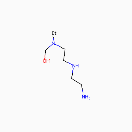 CCN(CO)CCNCCN